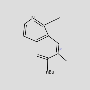 C=C(CCCC)/C(C)=C\c1cccnc1C